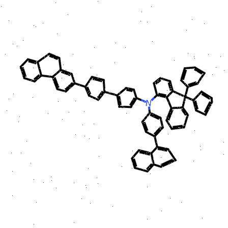 c1ccc(C2(c3ccccc3)c3ccccc3-c3c(N(c4ccc(-c5ccc(-c6ccc7c(ccc8ccccc87)c6)cc5)cc4)c4ccc(-c5cccc6ccccc56)cc4)cccc32)cc1